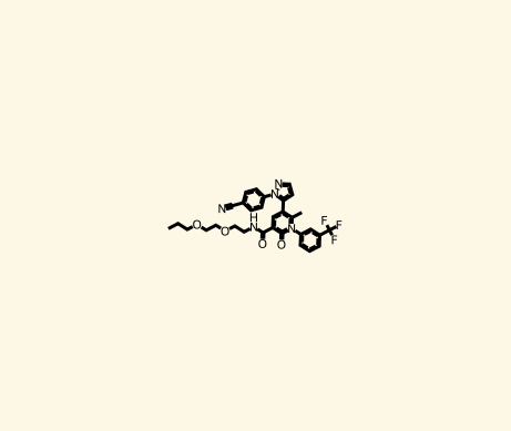 CCCOCCOCCNC(=O)c1cc(-c2ccnn2-c2ccc(C#N)cc2)c(C)n(-c2cccc(C(F)(F)F)c2)c1=O